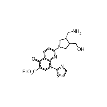 CCOC(=O)c1cn(-c2nccs2)c2nc(N3C[C@H](CN)[C@@H](CO)C3)ccc2c1=O